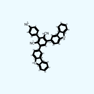 N#Cc1ccc(-c2c(C#N)c(-c3ccc4oc5ccccc5c4c3)cc(-c3ccc4oc5ccccc5c4c3)c2C#N)cc1